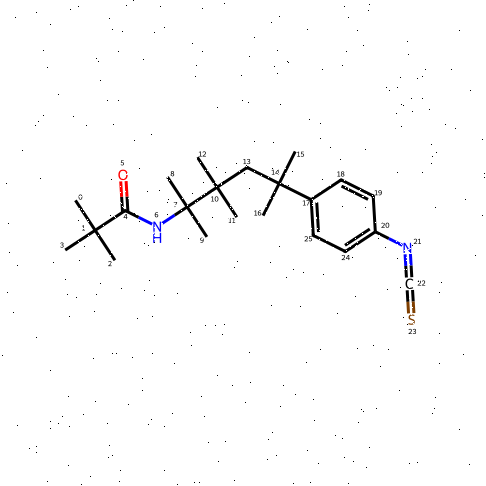 CC(C)(C)C(=O)NC(C)(C)C(C)(C)CC(C)(C)c1ccc(N=C=S)cc1